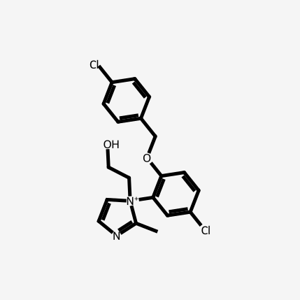 CC1=NC=C[N+]1(CCO)c1cc(Cl)ccc1OCc1ccc(Cl)cc1